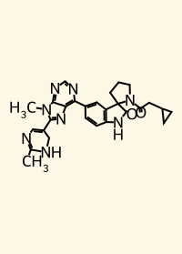 CC1=NC=C(c2nc3c(-c4ccc5c(c4)C4(CCCN4C(=O)CC4CC4)C(=O)N5)ncnc3n2C)CN1